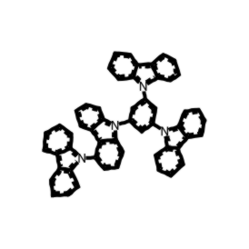 c1ccc2c(c1)c1ccccc1n2-c1cc(-n2c3ccccc3c3ccccc32)cc(-n2c3ccccc3c3c(-n4c5ccccc5c5ccccc54)cccc32)c1